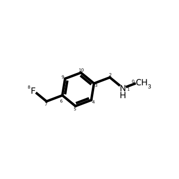 CNCc1ccc(CF)cc1